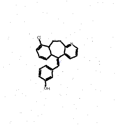 Oc1cccc(/C=C2/c3cccnc3CCC3C(Cl)=CC=CC23)c1